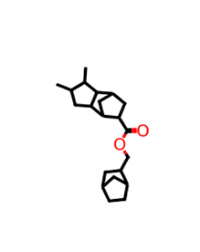 CC1CC2C3CC(CC3C(=O)OCC3CC4CCC3C4)C2C1C